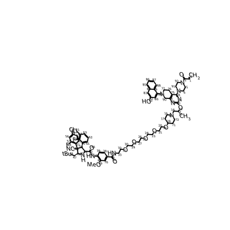 C=CC(=O)N1CCN(c2nc(O[C@H](C)CN3CCC(OCCOCCOCCOCCOCCNC(=O)c4ccc(NC(=O)C5N[C@@H](CC(C)(C)C)[C@](C#N)(c6ccc(Cl)cc6F)[C@H]5c5cccc(Cl)c5F)c(OC)c4)CC3)nc3c2CCN(c2cc(O)cc4ccccc24)C3)CC1